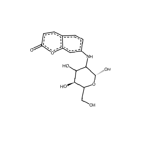 O=c1ccc2ccc(NC3C(O)[C@H](O)C(CO)O[C@H]3O)cc2o1